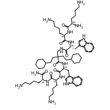 NCCCC[C@@H](N)C(=O)N[C@H](CCCCN)C(=O)N[C@H](Cc1c[nH]c2ccccc12)C(=O)NCC(CCC1CCCCC1)(CCC1CCCCC1)C(=O)N[C@@H](Cc1c[nH]c2ccccc12)C(=O)N[C@@H](CCCCN)C(=O)N[C@@H](CCCCN)C(N)=O